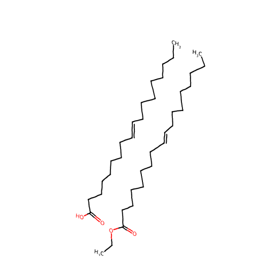 CCCCCCCCC=CCCCCCCCC(=O)O.CCCCCCCCC=CCCCCCCCC(=O)OCC